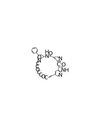 O=C1NC2CC(c3ccccc3)CN(CCOCCOC/C=C/c3cnc4c(c3)[C@@]3(Cc5cc1cnc5C3)C(=O)N4)C2=O